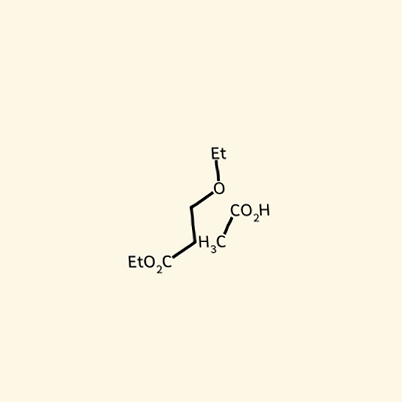 CC(=O)O.CCOCCC(=O)OCC